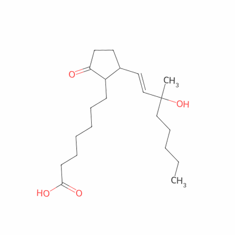 CCCCCC(C)(O)C=CC1CCC(=O)C1CCCCCCC(=O)O